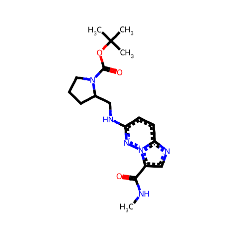 CNC(=O)c1cnc2ccc(NCC3CCCN3C(=O)OC(C)(C)C)nn12